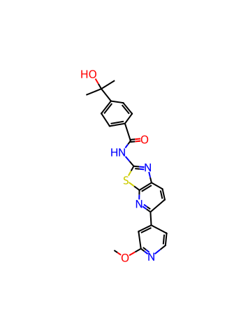 COc1cc(-c2ccc3nc(NC(=O)c4ccc(C(C)(C)O)cc4)sc3n2)ccn1